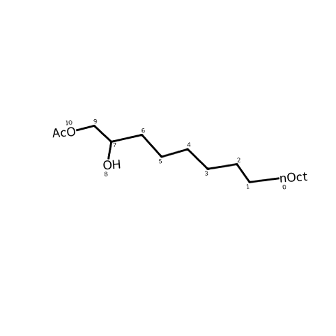 CCCCCCCCCCCCCCC(O)COC(C)=O